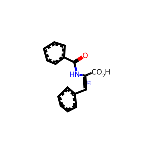 O=C(O)/C(=C/c1ccccc1)NC(=O)c1ccccc1